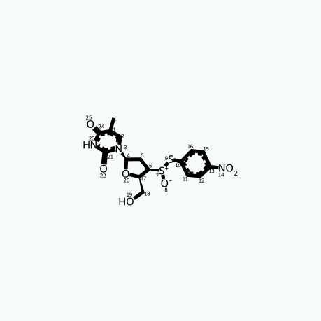 Cc1cn([C@H]2C[C@@H]([S+]([O-])Sc3ccc([N+](=O)[O-])cc3)[C@@H](CO)O2)c(=O)[nH]c1=O